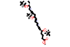 CC[C@H](/C=C/C#CCC(/C=C/C=C/C#C[C@H](CCCC(=O)OC)O[Si](C)(C)C(C)(C)C)O[Si](C)(C)C(C)(C)C)O[Si](C)(C)C(C)(C)C